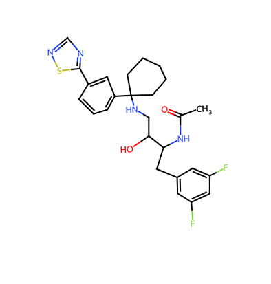 CC(=O)NC(Cc1cc(F)cc(F)c1)C(O)CNC1(c2cccc(-c3ncns3)c2)CCCCC1